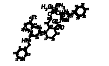 CCc1cnn2c(NCc3cccnc3)cc(N3CCCC(S(=O)(=O)n4cnc(-c5ccccc5)n4)C3CCO[Si](C)(C)C)nc12